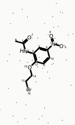 CC(=O)Nc1cc([N+](=O)[O-])ccc1OCCBr